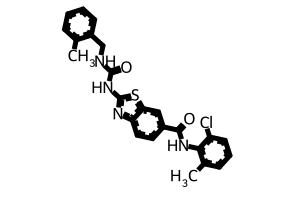 Cc1ccccc1CNC(=O)Nc1nc2ccc(C(=O)Nc3c(C)cccc3Cl)cc2s1